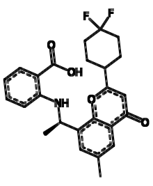 Cc1cc([C@@H](C)Nc2ccccc2C(=O)O)c2oc(C3CCC(F)(F)CC3)cc(=O)c2c1